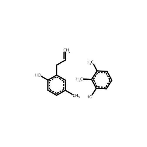 C=CCc1cc(C)ccc1O.Cc1cccc(O)c1C